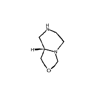 C1CN2COC[C@@H]2CN1